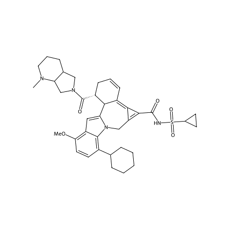 COc1ccc(C2CCCCC2)c2c1cc1n2CC2=C(C(=O)NS(=O)(=O)C3CC3)C2=C2C=CC[C@@H](C(=O)N3CC4CCCN(C)C4C3)C21